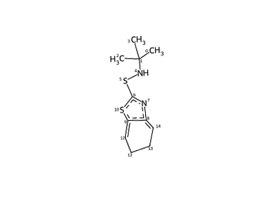 CC(C)(C)NSc1nc2c(s1)=CCCC=2